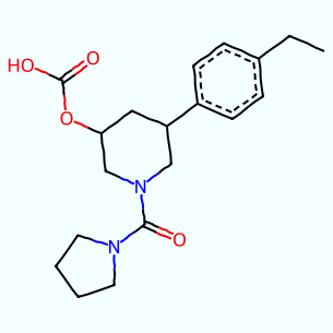 CCc1ccc(C2CC(OC(=O)O)CN(C(=O)N3CCCC3)C2)cc1